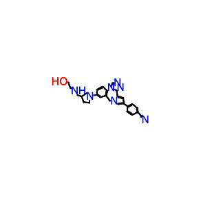 N#Cc1ccc(-c2cc3n(c2)Cc2cc(N4CCC(CNCCO)C4)ccc2-n2cnnc2-3)cc1